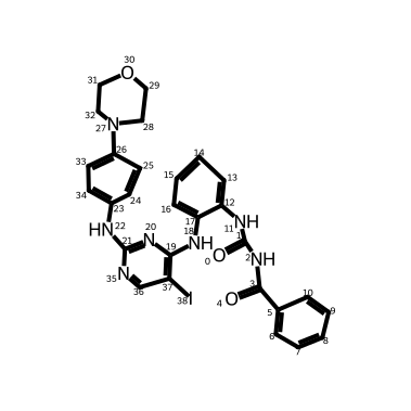 O=C(NC(=O)c1ccccc1)Nc1ccccc1Nc1nc(Nc2ccc(N3CCOCC3)cc2)ncc1I